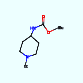 [CH2]CN1CCC(NC(=O)OC(C)(C)C)CC1